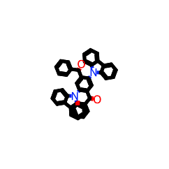 O=C(c1ccccc1)c1cc(-n2c3ccccc3c3ccccc32)c(C(=O)c2ccccc2)cc1-n1c2ccccc2c2ccccc21